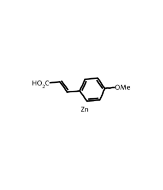 COc1ccc(C=CC(=O)O)cc1.[Zn]